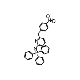 O=[N+]([O-])c1ccc(Cc2cccc(N=P(c3ccccc3)(c3ccccc3)c3ccccc3)n2)cc1